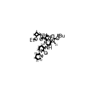 CCO[C@@H]1CCC1NC(=O)c1cnn2c(N(C)C(=O)OC(C)(C)C)cc(Nc3cccn(-c4ccccn4)c3=O)nc12